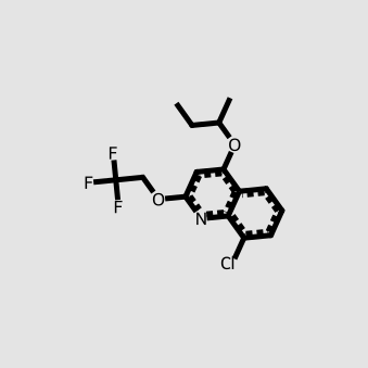 CCC(C)Oc1cc(OCC(F)(F)F)nc2c(Cl)cccc12